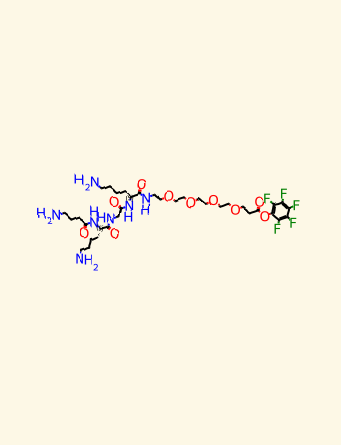 NCCCC[C@H](NC(=O)CCCN)C(=O)NCC(=O)N[C@@H](CCCCN)C(=O)NCCOCCOCCOCCOCCC(=O)Oc1c(F)c(F)c(F)c(F)c1F